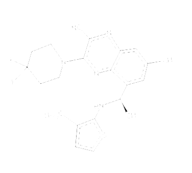 Cc1cc([C@@H](C)Nc2sccc2C(=O)O)c2nc(N3CCC(F)(F)CC3)c(C#N)nc2c1